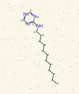 CCCCCCCCCCCCNc1ncncn1